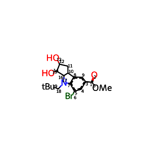 COC(=O)c1cc(Br)c2c(c1)C1CC(O)C(O)C1N2CC(C)(C)C